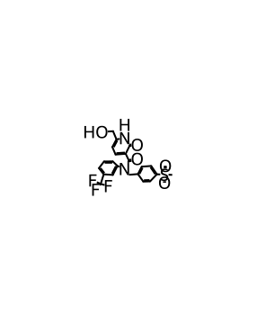 CS(=O)(=O)c1ccc(CN(C(=O)c2ccc(CO)[nH]c2=O)c2cccc(C(F)(F)F)c2)cc1